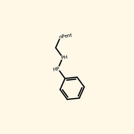 CCCCCCPPc1ccccc1